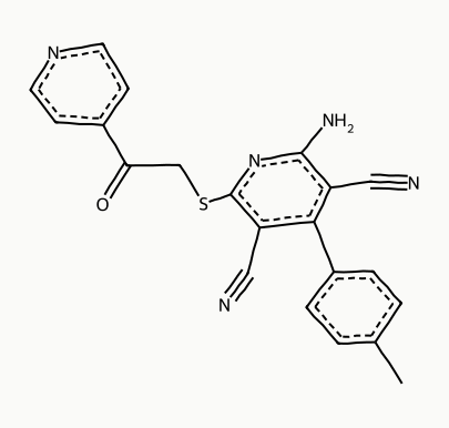 Cc1ccc(-c2c(C#N)c(N)nc(SCC(=O)c3ccncc3)c2C#N)cc1